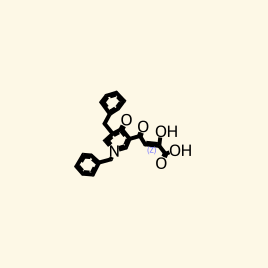 O=C(O)/C(O)=C/C(=O)c1cn(Cc2ccccc2)cc(Cc2ccccc2)c1=O